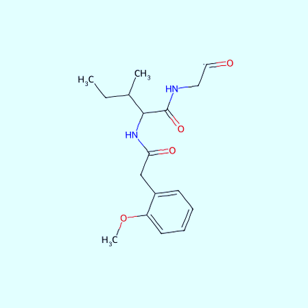 CCC(C)C(NC(=O)Cc1ccccc1OC)C(=O)NC[C]=O